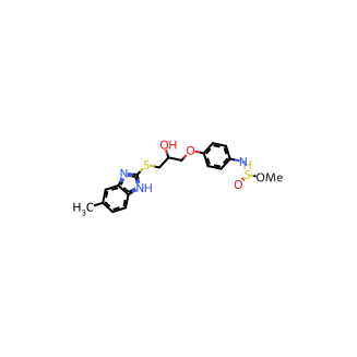 CO[SH](=O)=Nc1ccc(OCC(O)CSc2nc3cc(C)ccc3[nH]2)cc1